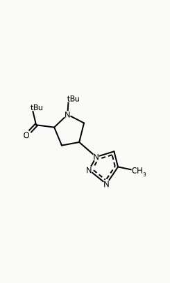 Cc1cn(C2CC(C(=O)C(C)(C)C)N(C(C)(C)C)C2)nn1